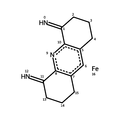 N=C1CCCc2cc3c(nc21)C(=N)CCC3.[Fe]